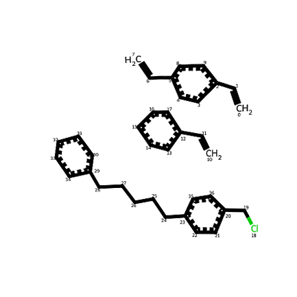 C=Cc1ccc(C=C)cc1.C=Cc1ccccc1.ClCc1ccc(CCCCCc2ccccc2)cc1